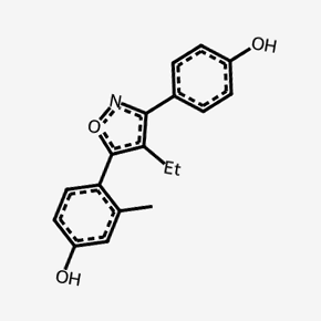 CCc1c(-c2ccc(O)cc2)noc1-c1ccc(O)cc1C